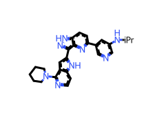 CC(C)Nc1cncc(-c2ccc3[nH]nc(-c4cc5c(N6CCCCC6)nccc5[nH]4)c3n2)c1